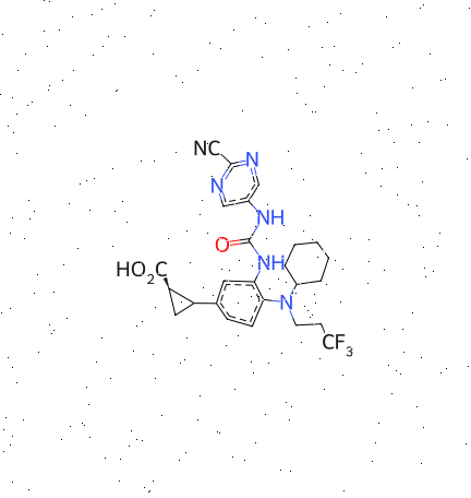 N#Cc1ncc(NC(=O)Nc2cc(C3C[C@H]3C(=O)O)ccc2N(CCC(F)(F)F)C2CCCCC2)cn1